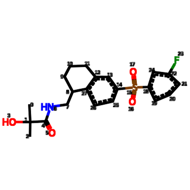 CC(C)(O)C(=O)NCC1CCCc2cc(S(=O)(=O)c3cccc(F)c3)ccc21